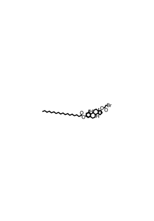 CCCCCCCCCCCCCCCCCC(=O)Oc1cc(C)c2c(c1)CC[C@@H]1[C@@H]2CC[C@]2(C)[C@@H](OC(=O)CBr)CC[C@@H]12